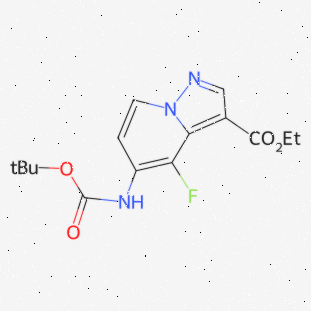 CCOC(=O)c1cnn2ccc(NC(=O)OC(C)(C)C)c(F)c12